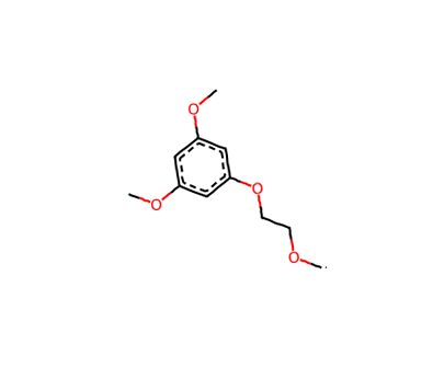 [CH2]OCCOc1cc(OC)cc(OC)c1